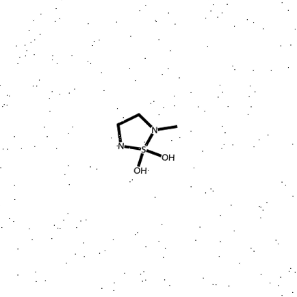 CN1CC[N]S1(O)O